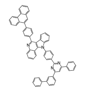 c1ccc(-c2cccc(-c3cc(-c4ccccc4)nc(-c4ccc(-n5c6ccccc6c6c(-c7ccc(-c8cc9ccccc9c9ccccc89)cc7)nc7ccccc7c65)cc4)n3)c2)cc1